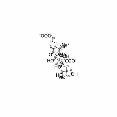 C=CC(=O)OC.O=C([O-])CCCCCCCCC(=O)[O-].OCC(CO)(CO)COCC(CO)(CO)CO.[Na+].[Na+]